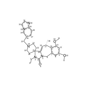 CCN1C(=O)N2Cc3cc(OC)cc(OC)c3[C@@H](C)C=C2C12CCN(Cc1ccc3nccn3c1)CC2